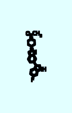 CC(=O)N1CCC(n2cc3ccc(-c4c[nH]c5cc(F)ccc45)cc3n2)CC1